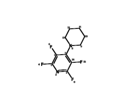 Fc1nc(F)c(F)c(N2CCCCC2)c1F